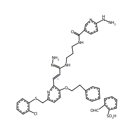 NN=C(/C=C/c1nc(CSc2ccccc2Cl)ccc1OCCc1ccccc1)NCCCNC(=O)c1ccc(NN)nc1.O=Cc1ccccc1S(=O)(=O)O